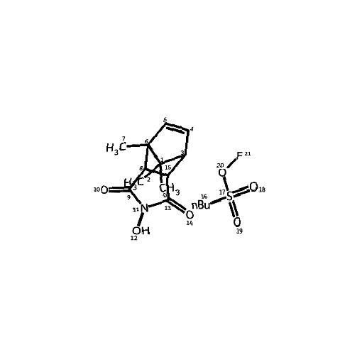 CC1(C)C2C=CC1(C)C1C(=O)N(O)C(=O)C21.CCCCS(=O)(=O)OF